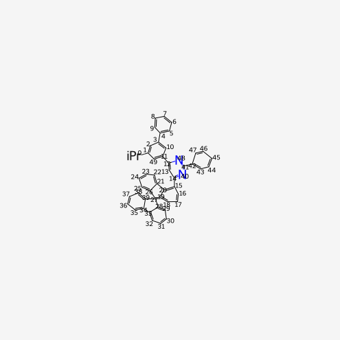 CC(C)c1cc(-c2ccccc2)cc(-c2cc(-c3cccc4c3-c3ccccc3C43c4ccccc4-c4ccccc43)nc(-c3ccccc3)n2)c1